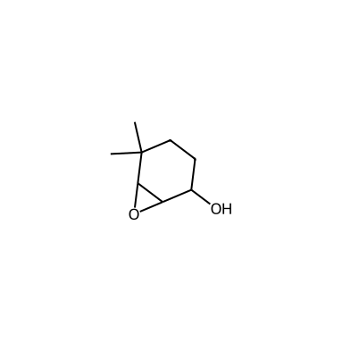 CC1(C)CCC(O)C2OC21